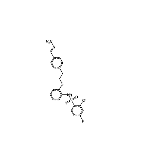 NN=Cc1ccc(CCSc2ccccc2NS(=O)(=O)c2ccc(F)cc2Cl)cc1